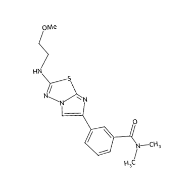 COCCNc1nn2cc(-c3cccc(C(=O)N(C)C)c3)nc2s1